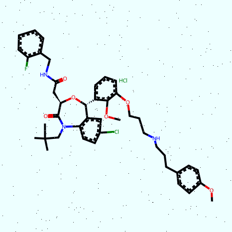 COc1ccc(CCCNCCCOc2cccc([C@H]3O[C@H](CC(=O)NCc4ccccc4F)C(=O)N(CC(C)(C)C)c4ccc(Cl)cc43)c2OC)cc1.Cl